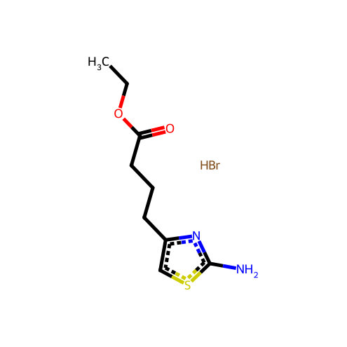 Br.CCOC(=O)CCCc1csc(N)n1